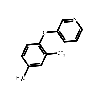 Cc1ccc(Oc2cccnc2)c(C(F)(F)F)c1